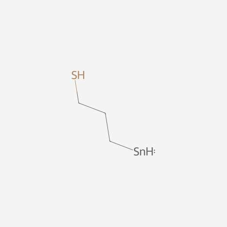 SCC[CH2][SnH]